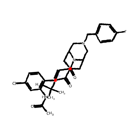 CC(=O)Nc1cc(Cl)ccc1/C=C/C(=O)N1C2CN(Cc3ccc(F)cc3)CC1CN(C(=O)OC(C)(C)C)C2